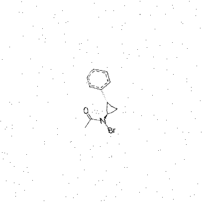 CC(=O)N(Br)[C@@H]1C[C@H]1c1ccccc1